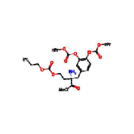 CCCOC(=O)Oc1ccc(C[C@](N)(CCOC(=O)OCCC(C)C)C(=O)OC)cc1OC(=O)OCCC